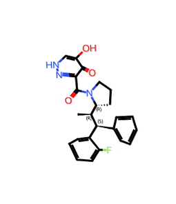 C[C@H]([C@@H](c1ccccc1)c1ccccc1F)[C@H]1CCCN1C(=O)c1n[nH]cc(O)c1=O